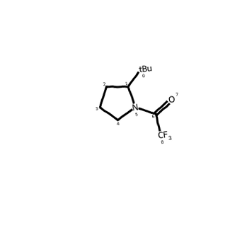 CC(C)(C)C1CCCN1C(=O)C(F)(F)F